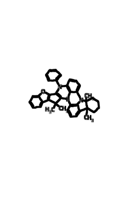 CC1(C)C2=C(c3oc4ccccc4c31)N(c1ccccc1)c1cccc3c1B2c1cccc2c1N3C1(C)CCCCC21C